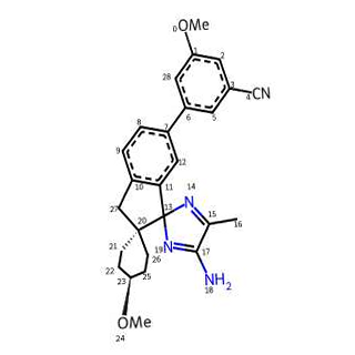 COc1cc(C#N)cc(-c2ccc3c(c2)C2(N=C(C)C(N)=N2)[C@]2(CC[C@H](OC)CC2)C3)c1